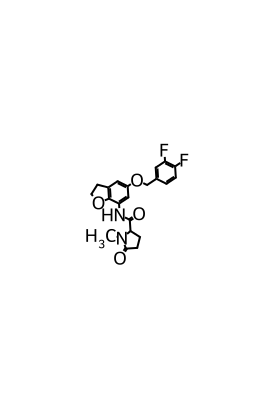 CN1C(=O)CCC1C(=O)Nc1cc(OCc2ccc(F)c(F)c2)cc2c1OCC2